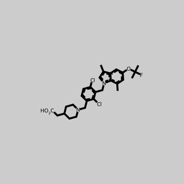 Cc1cn(Cc2c(Cl)ccc(CN3CCC(CC(=O)O)CC3)c2Cl)c2c(C)cc(OC(C)(C)F)cc12